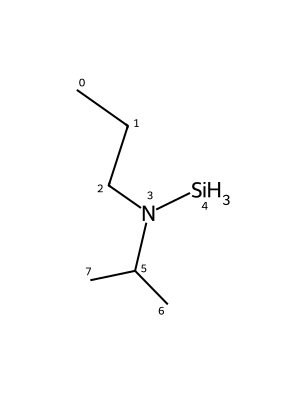 CCCN([SiH3])C(C)C